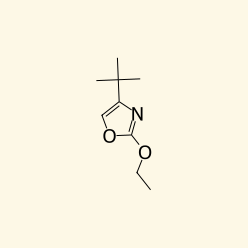 CCOc1nc(C(C)(C)C)co1